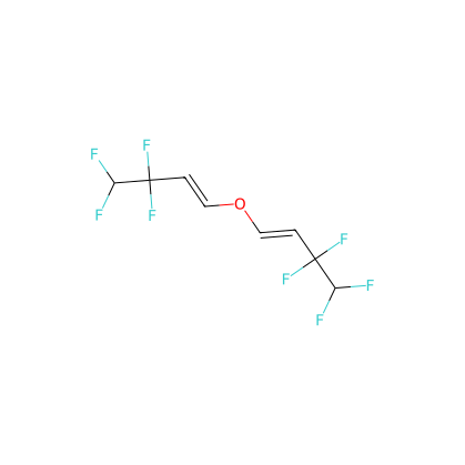 FC(F)C(F)(F)C=COC=CC(F)(F)C(F)F